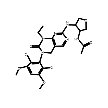 CCN1C(=O)N(c2c(Cl)c(OC)cc(OC)c2Cl)Cc2cnc(NC3COCC3NC(C)=O)nc21